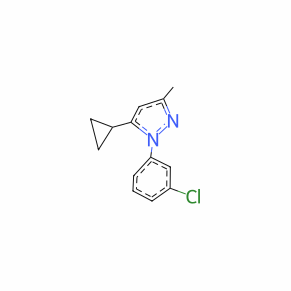 Cc1cc(C2CC2)n(-c2cccc(Cl)c2)n1